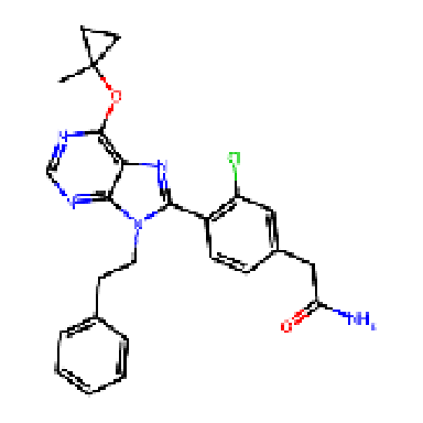 CC1(Oc2ncnc3c2nc(-c2ccc(CC(N)=O)cc2Cl)n3CCc2ccccc2)CC1